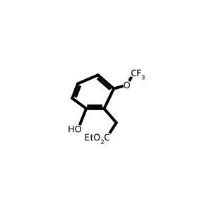 CCOC(=O)Cc1c(O)cccc1OC(F)(F)F